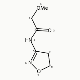 COCC(=O)NC1=NOCC1